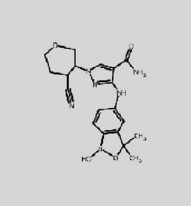 CC1(C)OB(O)c2ccc(Nc3nn(C4COCCC4C#N)cc3C(N)=O)cc21